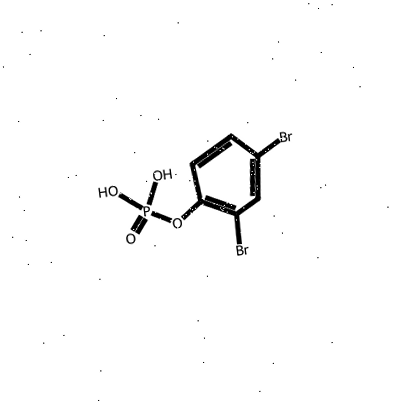 O=P(O)(O)Oc1ccc(Br)cc1Br